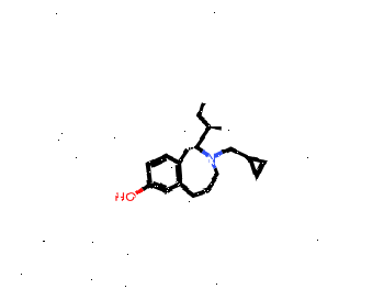 CC[C@@H](C)[C@H]1Cc2ccc(O)cc2CCCN1CC1CC1